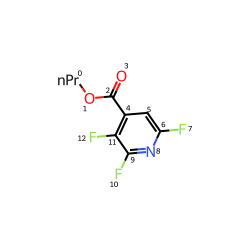 CCCOC(=O)c1cc(F)nc(F)c1F